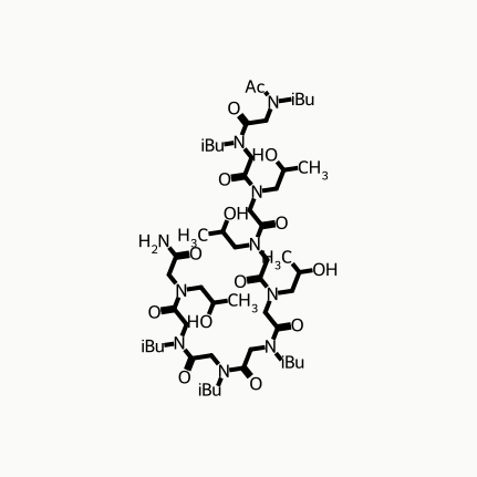 CCC(C)N(CC(=O)N(CC(=O)N(CC(=O)N(CC(=O)N(CC(=O)N(CC(=O)N(CC(=O)N(CC(=O)N(CC(N)=O)CC(C)O)C(C)CC)C(C)CC)C(C)CC)CC(C)O)CC(C)O)CC(C)O)C(C)CC)C(C)=O